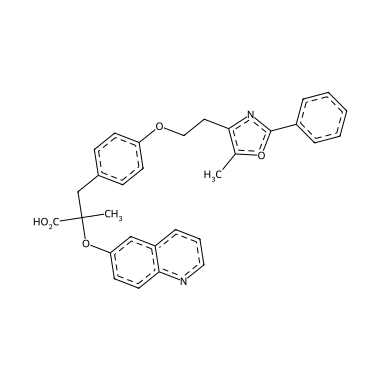 Cc1oc(-c2ccccc2)nc1CCOc1ccc(CC(C)(Oc2ccc3ncccc3c2)C(=O)O)cc1